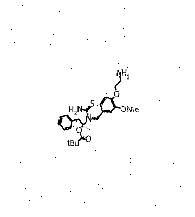 COc1cc(CN(C(N)=S)[C@](C)(Cc2ccccc2)OC(=O)C(C)(C)C)ccc1OCCN